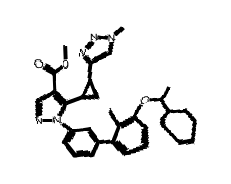 COC(=O)c1cnn(-c2cccc(-c3cccc(OC(C)C4CCCCC4)c3C)c2)c1C1CC1c1cn(C)nn1